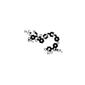 CCOc1cc([C@@H](CC#N)N2C(=O)c3cccc(N4CCN(CC5CCN(Cc6ccc(Oc7ccc8c(C9CCC(=O)NC9=O)nn(C)c8c7)cc6)CC5)CC4)c3C2=O)ccc1OC